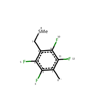 [CH2]c1c(F)c(F)c(CSC)c(F)c1F